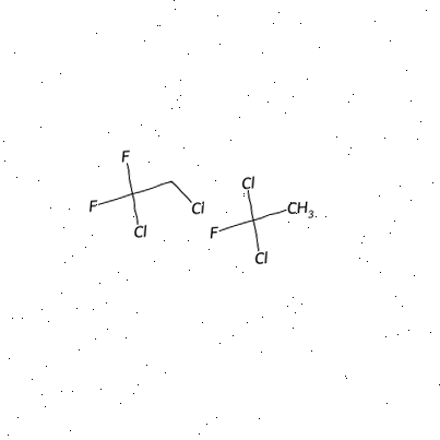 CC(F)(Cl)Cl.FC(F)(Cl)CCl